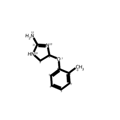 Cc1ccccc1OC1CNC(N)=N1